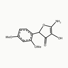 COc1ccc(C2OC(N)=C(O)C2=O)c(OC)c1